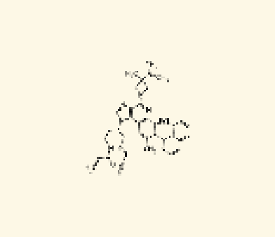 C=CC(=O)N1CCC(n2cnc3c(N4CC(C)(N(C)C)C4)nc4c(F)c(-c5cccc6cccc(Cl)c56)c(C)cc4c32)C[C@H]1CC#N